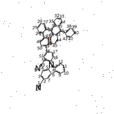 N#Cc1ccc2c(c1)c1ccccc1n2-c1ccc(-c2ccc(-c3ccccc3-c3c4ccccc4c(-c4ccccc4)c4ccccc34)cc2)cc1C#N